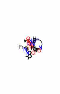 Cc1ccc2c(O[C@@H]3C[C@H]4C(=O)N[C@]5(C(=O)NS(=O)(=O)C6CC6)C[C@H]5/C=C\CCCCN(C)C(=O)[C@@H]4C3)cc(-c3nc(C(C)C)cs3)nc2c1C